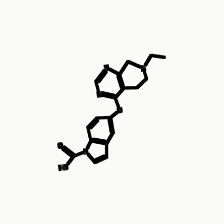 CCN1CCc2c(ncnc2Oc2ccc3c(ccn3C(=O)O)c2)C1